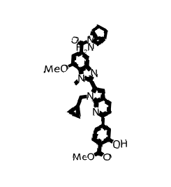 COC(=O)c1ccc(-c2ccc3cc(-c4nc5cc(C(=O)N6CC7CCC6C7N)cc(OC)c5n4C)n(CC4CC4)c3n2)cc1O